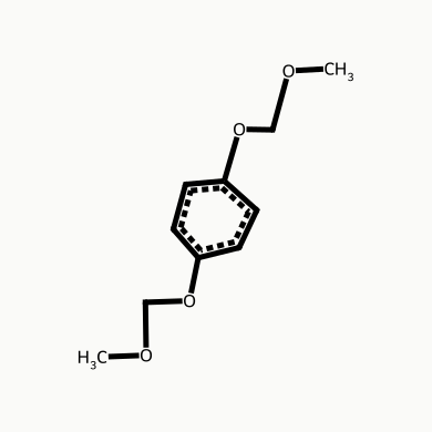 COCOc1ccc(OCOC)cc1